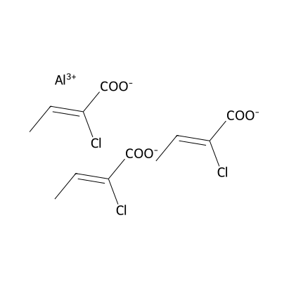 C/C=C(\Cl)C(=O)[O-].C/C=C(\Cl)C(=O)[O-].C/C=C(\Cl)C(=O)[O-].[Al+3]